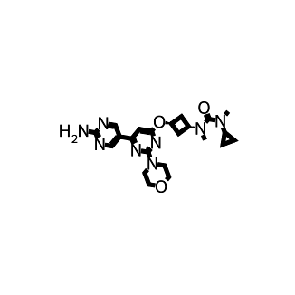 CN(C(=O)N(C)[C@H]1C[C@H](Oc2cc(-c3cnc(N)nc3)nc(N3CCOCC3)n2)C1)C1CC1